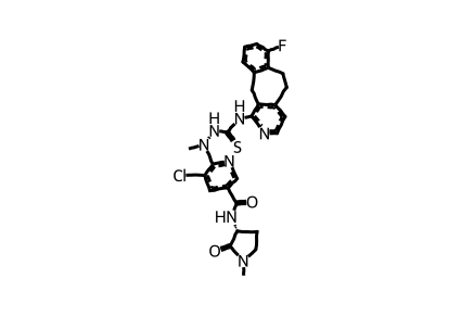 CN1CC[C@@H](NC(=O)c2cnc(N(C)NC(=S)Nc3nccc4c3Cc3cccc(F)c3CC4)c(Cl)c2)C1=O